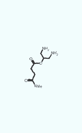 CNC(=O)CCC(=O)OC(CN)CN